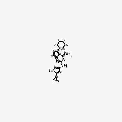 Nc1nc(Nc2cc(C3CC3)[nH]n2)nn2ccc(C3CCCCC3)c12